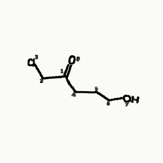 O=C(CCl)CCCO